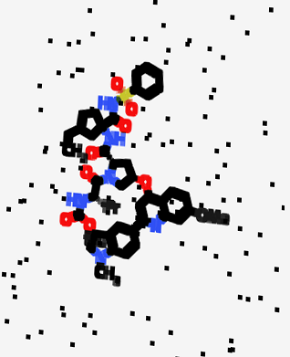 C=CC1=CCC(NC(=O)[C@@H]2C[C@@H](Oc3cc(-c4ccc5c(c4)CCN5C)nc4cc(OC)ccc34)CN2C(=O)[C@@H](NC(=O)OC(C)(C)C)C(C)C)(C(=O)NS(=O)(=O)c2ccccc2)C1